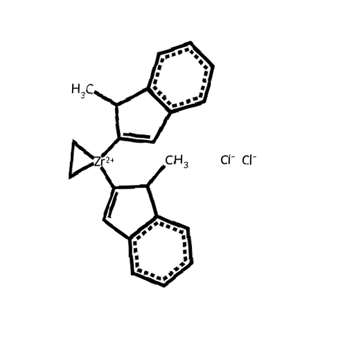 CC1[C]([Zr+2]2([C]3=Cc4ccccc4C3C)[CH2][CH2]2)=Cc2ccccc21.[Cl-].[Cl-]